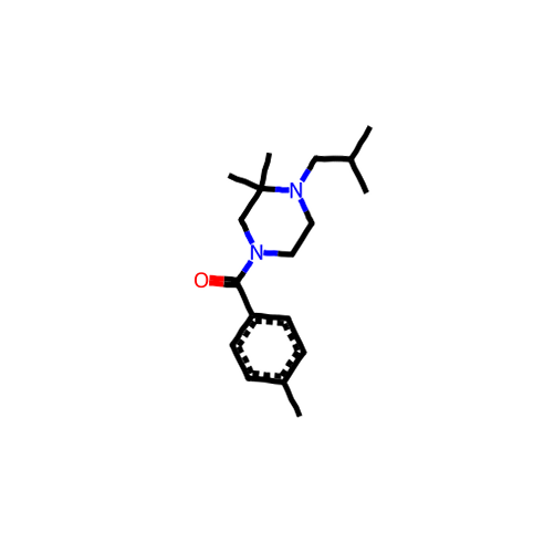 Cc1ccc(C(=O)N2CCN(CC(C)C)C(C)(C)C2)cc1